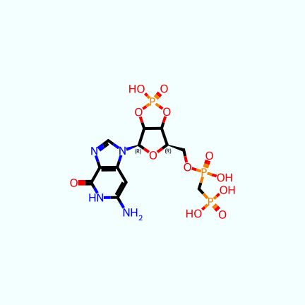 Nc1cc2c(ncn2[C@@H]2O[C@H](COP(=O)(O)CP(=O)(O)O)C3OP(=O)(O)OC32)c(=O)[nH]1